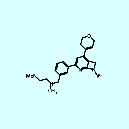 CNCCN(C)Cc1cccc(-c2cc(C3=CCOCC3)c3c(n2)N(C(C)C)C3)c1